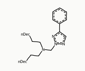 CCCCCCCCCCCCN(CCCCCCCCCCCC)Cn1ncc(-c2ccccc2)n1